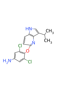 CC(C)c1c[nH]c2ccc(Oc3c(Cl)cc(N)cc3Cl)nc12